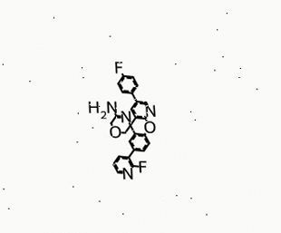 NC1=NC2(COC1)c1cc(-c3cccnc3F)ccc1Oc1ncc(-c3ccc(F)cc3)cc12